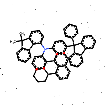 CC1(C)c2ccccc2-c2c(N(c3ccc(C4(c5ccccc5)c5ccccc5-c5ccccc54)cc3)c3ccccc3-c3cccc4cccc(C5CCCCC5)c34)cccc21